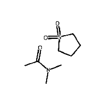 CC(=O)N(C)C.O=S1(=O)CCCC1